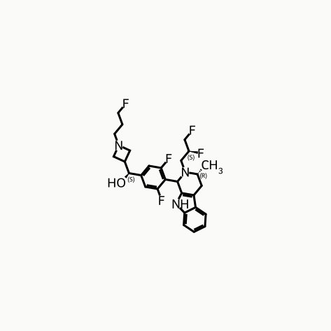 C[C@@H]1Cc2c([nH]c3ccccc23)C(c2c(F)cc([C@@H](O)C3CN(CCCF)C3)cc2F)N1C[C@H](F)CF